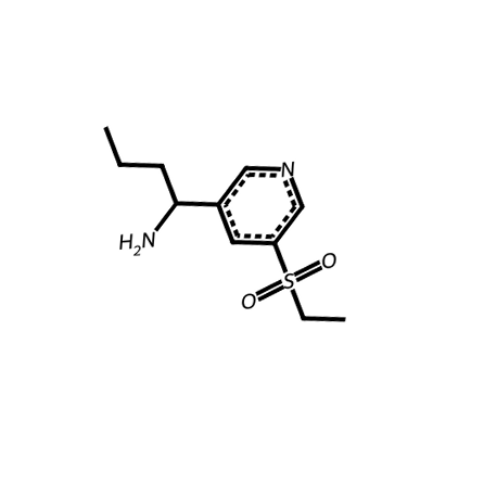 CCCC(N)c1cncc(S(=O)(=O)CC)c1